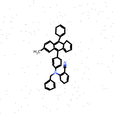 Cc1ccc2c(c1)=C(C1C=CC(N(Cc3ccccc3)C3=C(C#N)C=CCC3)=CC1)C1=CC=CCC1C=2C1=CC=CCC1